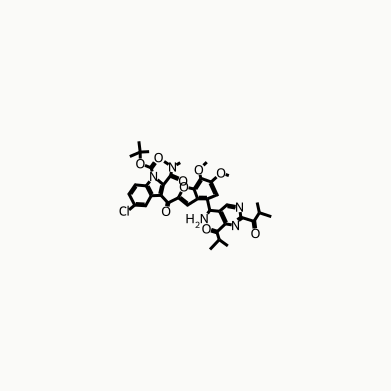 COc1cc(C(N)c2cnc(C(=O)C(C)C)nc2C(=O)C(C)C)c2cc(C(=O)c3c(C(=O)N(C)C)n(C(=O)OC(C)(C)C)c4ccc(Cl)cc34)oc2c1OC